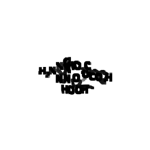 CC#C[C@@]1(O)[C@@H](COC(Cc2ccccc2)(C(=O)O)C(=O)O)O[C@@H](n2cnc3c(N)nc(Cl)nc32)[C@@H]1O